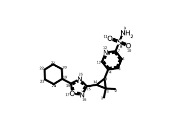 CC1(C)C(c2ccc(S(N)(=O)=O)nc2)C1c1noc(C2CCCCC2)n1